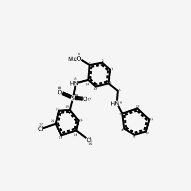 COc1ccc(CNc2ccccc2)cc1NS(=O)(=O)c1cc(Cl)cc(Cl)c1